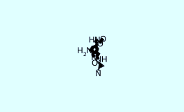 N#C[C@@H]1C[C@H]1C(=O)Nc1cc2cc(C3CNC(=O)O3)cc(N)c2cn1